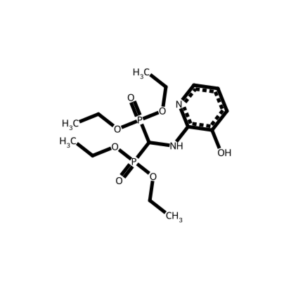 CCOP(=O)(OCC)C(Nc1ncccc1O)P(=O)(OCC)OCC